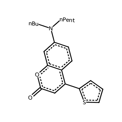 CCCCCN(CCCC)c1ccc2c(-c3cccs3)cc(=O)oc2c1